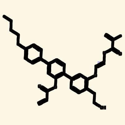 C=CC(=O)Oc1cc(-c2ccc(CCCCC)cc2)ccc1-c1ccc(CCO)c(O/C=C/OC(=O)C(=C)C)c1